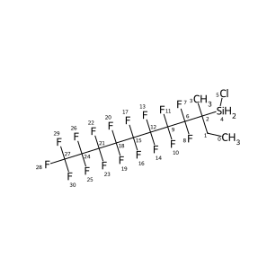 CCC(C)([SiH2]Cl)C(F)(F)C(F)(F)C(F)(F)C(F)(F)C(F)(F)C(F)(F)C(F)(F)C(F)(F)F